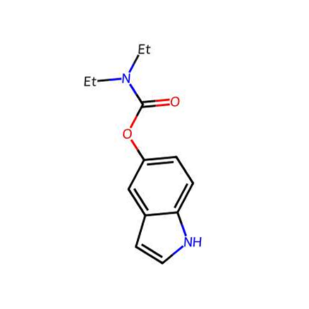 CCN(CC)C(=O)Oc1ccc2[nH]ccc2c1